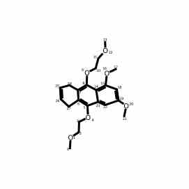 COCCOc1c2c(c(OCCOC)c3c(OC)cc(OC)cc13)CC=CC2